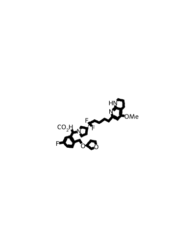 COc1cc(CCCCC(F)(F)[C@@H]2CCN(C(C(=O)O)c3cc(F)ccc3CO[C@H]3CCOC3)C2)nc2c1CCCN2